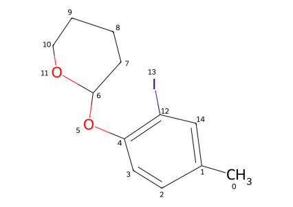 Cc1ccc(OC2CCCCO2)c(I)c1